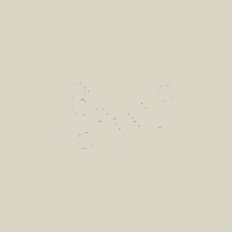 C=CCN1CC(=O)N2[C@@H](CN([C@H](C)c3cccc4cccnc34)C(=O)[C@@H]2Cc2ccc(O)cc2)N1C(=O)NCc1ccccc1